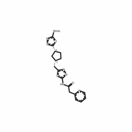 CC(=O)Nc1nnc([C@@H]2CC[C@H](Cc3nnc(NC(=O)Cc4ccccn4)s3)C2)s1